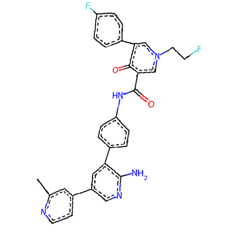 Cc1cc(-c2cnc(N)c(-c3ccc(NC(=O)c4cn(CCF)cc(-c5ccc(F)cc5)c4=O)cc3)c2)ccn1